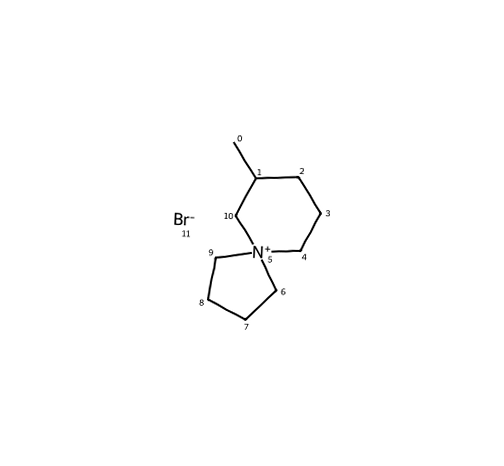 CC1CCC[N+]2(CCCC2)C1.[Br-]